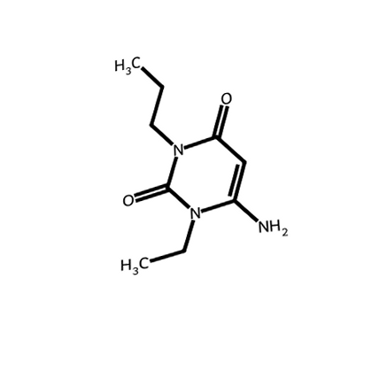 CCCn1c(=O)cc(N)n(CC)c1=O